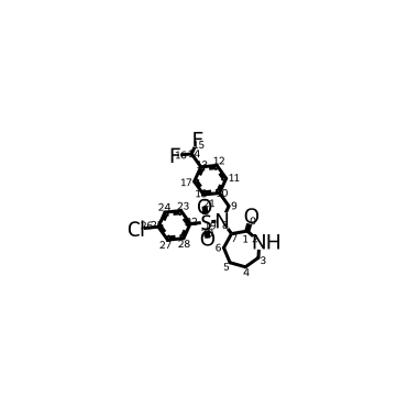 O=C1NCCCCC1N(Cc1ccc(C(F)F)cc1)S(=O)(=O)c1ccc(Cl)cc1